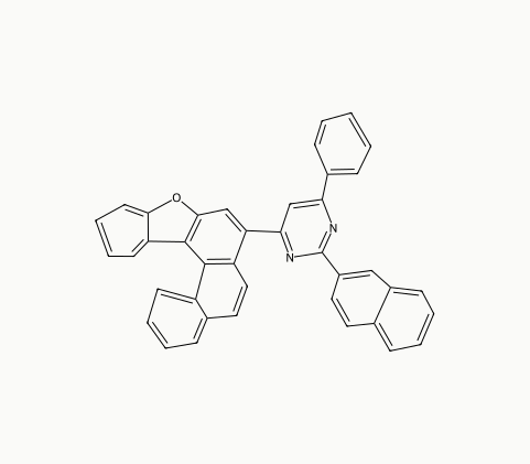 c1ccc(-c2cc(-c3cc4oc5ccccc5c4c4c3ccc3ccccc34)nc(-c3ccc4ccccc4c3)n2)cc1